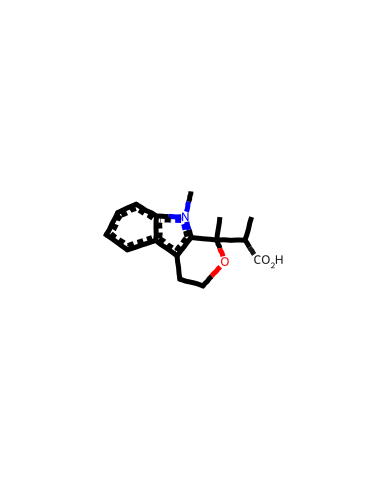 CC(C(=O)O)C1(C)OCCc2c1n(C)c1ccccc21